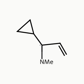 C=C[C](NC)C1CC1